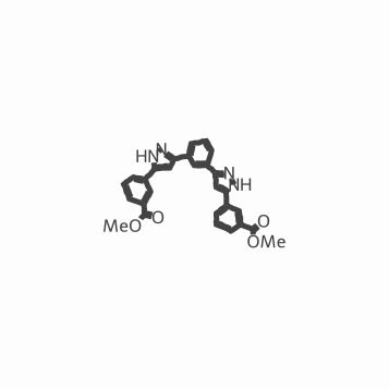 COC(=O)c1cccc(-c2cc(-c3cccc(-c4cc(-c5cccc(C(=O)OC)c5)[nH]n4)c3)n[nH]2)c1